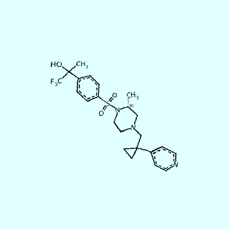 C[C@@H]1CN(CC2(c3ccncc3)CC2)CCN1S(=O)(=O)c1ccc(C(C)(O)C(F)(F)F)cc1